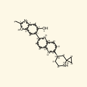 Cc1nc2cc(O)c(-c3ccc4nc([C@@H]5CCNC6(CC6)C5)ccc4n3)cc2o1